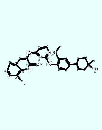 COc1cc(C2CCC(C)(O)CC2)ccc1Nc1nccc(Nc2cc3cccc(F)c3[nH]c2=O)n1